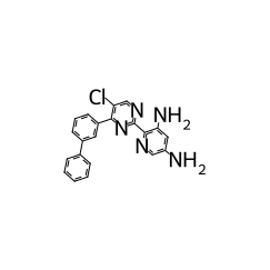 Nc1cnc(-c2ncc(Cl)c(-c3cccc(-c4ccccc4)c3)n2)c(N)c1